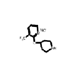 Cl.FC(F)(F)c1cccnc1OC1CCNCC1